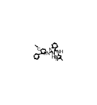 CCOc1ccc(Nc2nc(Nc3cc(C)n[nH]3)c3ccccc3n2)cc1-c1ccccc1